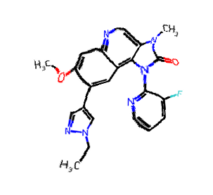 CCn1cc(-c2cc3c(cc2OC)ncc2c3n(-c3ncccc3F)c(=O)n2C)cn1